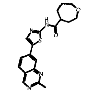 Cc1ncc2ccc(-c3cnc(NC(=O)C4CCCOCC4)s3)cc2n1